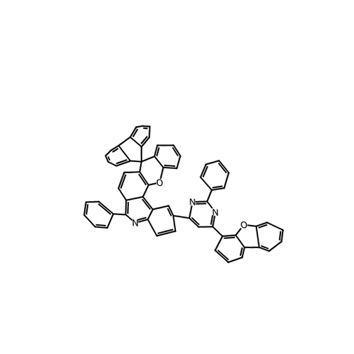 c1ccc(-c2nc(-c3ccc4nc(-c5ccccc5)c5ccc6c(c5c4c3)Oc3ccccc3C63c4ccccc4-c4ccccc43)cc(-c3cccc4c3oc3ccccc34)n2)cc1